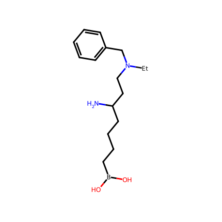 CCN(CCC(N)CCCCB(O)O)Cc1ccccc1